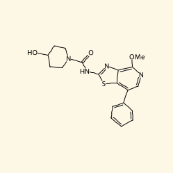 COc1ncc(-c2ccccc2)c2sc(NC(=O)N3CCC(O)CC3)nc12